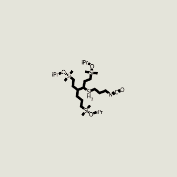 CC(C)O[Si](C)(C)CCCC(CC[Si](C)(C)OC(C)C)C(CC[Si](C)(C)OC(C)C)[SiH2]CCCN=C=O